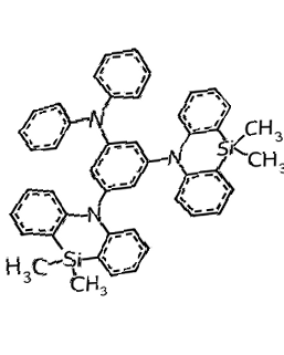 C[Si]1(C)c2ccccc2N(c2cc(N(c3ccccc3)c3ccccc3)cc(N3c4ccccc4[Si](C)(C)c4ccccc43)c2)c2ccccc21